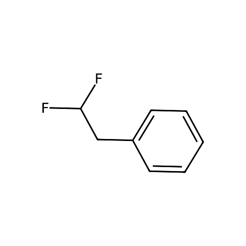 FC(F)Cc1ccccc1